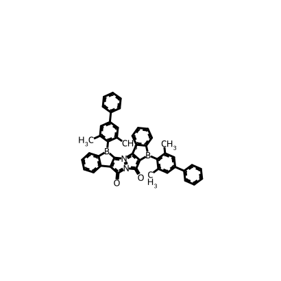 Cc1cc(-c2ccccc2)cc(C)c1B1c2ccccc2-c2c1c(=O)n1c(=O)c3c(n21)B(c1c(C)cc(-c2ccccc2)cc1C)c1ccccc1-3